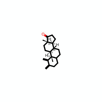 C=C1CCC2CC[C@@H]3[C@H](CC[C@]4(C)C(=O)CC[C@@H]34)[C@@]2(C)C1=C